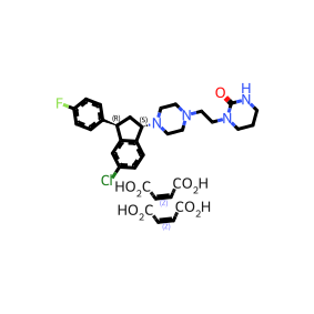 O=C(O)/C=C\C(=O)O.O=C(O)/C=C\C(=O)O.O=C1NCCCN1CCN1CCN([C@H]2C[C@H](c3ccc(F)cc3)c3cc(Cl)ccc32)CC1